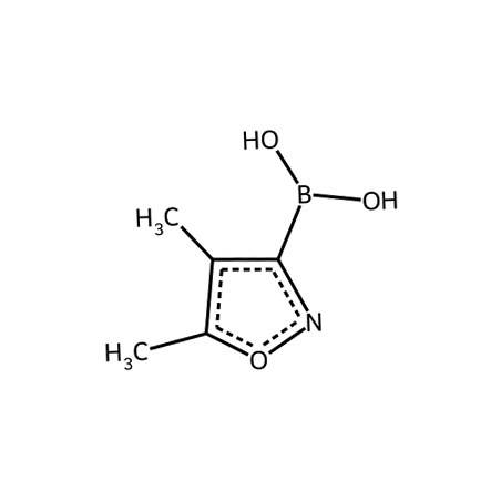 Cc1onc(B(O)O)c1C